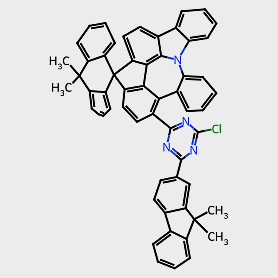 CC1(C)c2ccccc2-c2ccc(-c3nc(Cl)nc(-c4ccc5c6c4-c4ccccc4-n4c7ccccc7c7ccc(c-6c74)C54c5ccccc5C(C)(C)c5ccccc54)n3)cc21